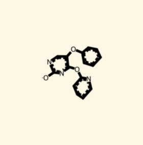 [O]c1ncc(Oc2ccccc2)c(Oc2ccccn2)n1